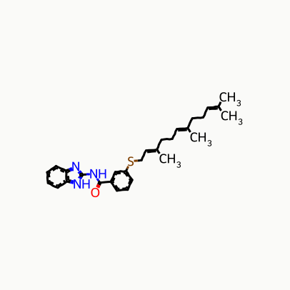 CC(C)=CCC/C(C)=C/CC/C(C)=C/CSc1cccc(C(=O)Nc2nc3ccccc3[nH]2)c1